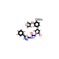 COc1ccc([C@@H]2CC(=O)N(CC(=O)Nc3nnc(-c4ccccc4)s3)C2)cc1O[C@@H]1CCOC1